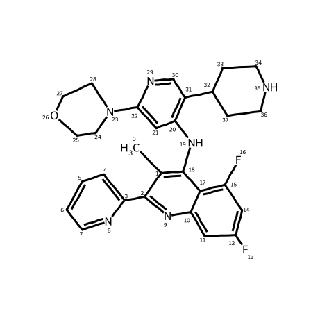 Cc1c(-c2ccccn2)nc2cc(F)cc(F)c2c1Nc1cc(N2CCOCC2)ncc1C1CCNCC1